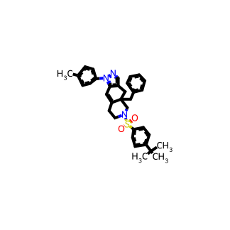 Cc1ccc(-n2ncc3c2C=C2CCN(S(=O)(=O)c4ccc(C(C)(C)C)cc4)CC2(Cc2ccccc2)C3)cc1